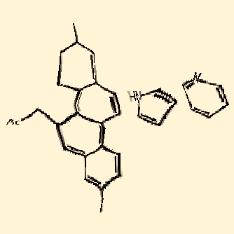 CC(=O)CC1C=c2cc(C)ccc2=c2ccc3c(c21)CCC(C)C=3.c1cc[nH]c1.c1ccncc1